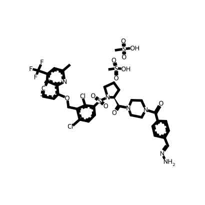 CS(=O)(=O)O.CS(=O)(=O)O.Cc1cc(C(F)(F)F)c2cccc(OCc3c(Cl)ccc(S(=O)(=O)N4CCC[C@H]4C(=O)N4CCN(C(=O)c5ccc(C=NN)cc5)CC4)c3Cl)c2n1